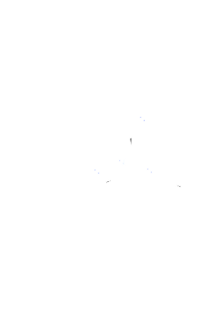 CC[C@H](CN1CC[C@@H](CNC(=O)c2ccc(Cl)c(CI)c2)N[C@@H](CCNc2ccccc2)C1=O)c1ccccc1